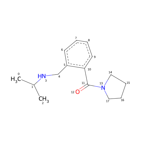 CC(C)NCc1ccccc1C(=O)N1CCCC1